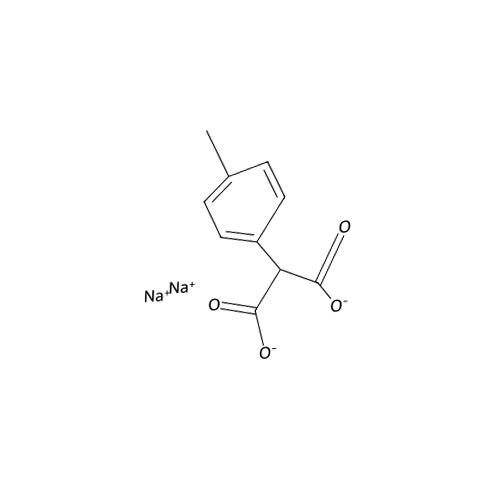 Cc1ccc(C(C(=O)[O-])C(=O)[O-])cc1.[Na+].[Na+]